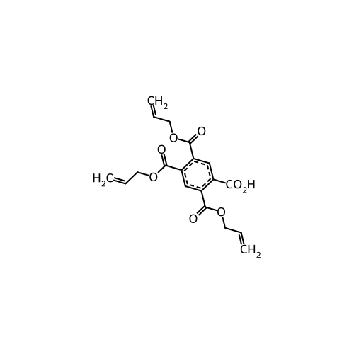 C=CCOC(=O)c1cc(C(=O)OCC=C)c(C(=O)OCC=C)cc1C(=O)O